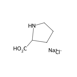 O=C(O)C1CCCN1.[Cl-].[Na+]